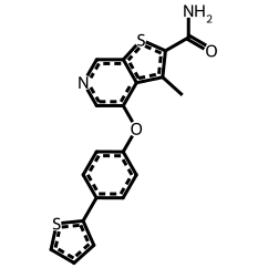 Cc1c(C(N)=O)sc2cncc(Oc3ccc(-c4cccs4)cc3)c12